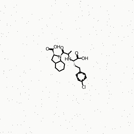 CC(N[C@@H](CCc1ccc(Cl)cc1)C(=O)O)C(=O)N1C2CCCCC2C[C@H]1C(=O)O